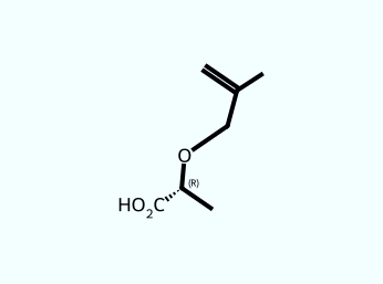 C=C(C)CO[C@H](C)C(=O)O